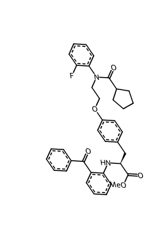 COC(=O)[C@H](Cc1ccc(OCCN(C(=O)C2CCCC2)c2ccccc2F)cc1)Nc1ccccc1C(=O)c1ccccc1